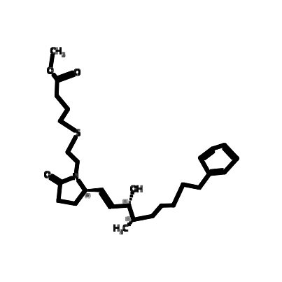 COC(=O)CCCSCCN1C(=O)CC[C@@H]1C=C[C@H](O)[C@@H](C)CCCCCc1ccccc1